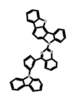 C1=CCC2N=C(n3c4ccccc4c4c5oc6ccccc6c5ccc43)N=C(c3cccc(-n4c5ccccc5c5ccccc54)c3)C2=C1